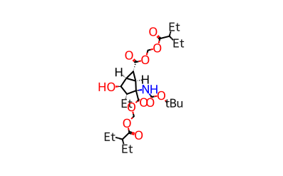 CCC(CC)C(=O)OCOC(=O)[C@H]1[C@@H]2[C@H](O)[C@@H](CC)[C@@](NC(=O)OC(C)(C)C)(C(=O)OCOC(=O)C(CC)CC)[C@H]12